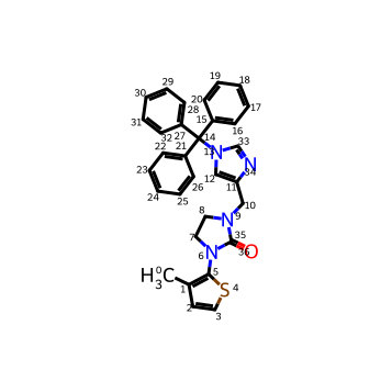 Cc1ccsc1N1CCN(Cc2cn(C(c3ccccc3)(c3ccccc3)c3ccccc3)cn2)C1=O